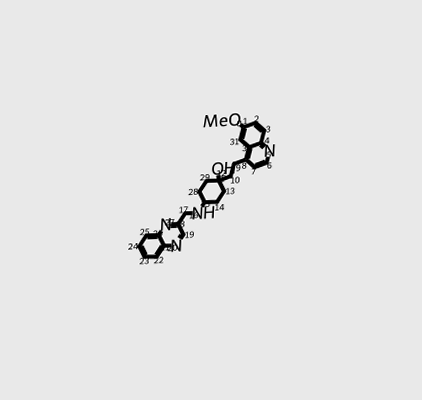 COc1ccc2nccc(CCC3(O)CCC(NCc4cnc5ccccc5n4)CC3)c2c1